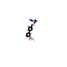 COc1cccc(-c2ccc(COC3CCN3C#N)c(F)c2)c1